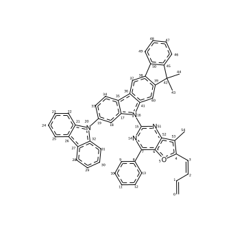 C=C/C=C\c1oc2c(-c3ccccc3)nc(-n3c4cc(-n5c6ccccc6c6ccccc65)ccc4c4cc5c(cc43)C(C)(C)c3ccccc3-5)nc2c1C